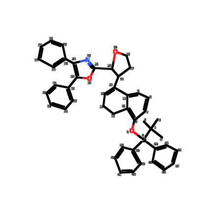 CC(C)(C)[Si](Oc1cccc2c1CCC=C2C1CCOC1c1nc(-c2ccccc2)c(-c2ccccc2)o1)(c1ccccc1)c1ccccc1